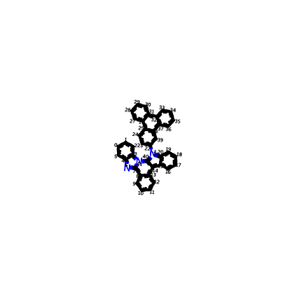 c1ccc2c(c1)nc1c3ccccc3c3c4ccccc4n(-c4ccc5c6ccccc6c6ccccc6c5c4)c3n21